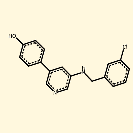 Oc1ccc(-c2cncc(NCc3cccc(Cl)c3)c2)cc1